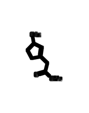 COC(=O)CC1=CC(OC(C)=O)CC1